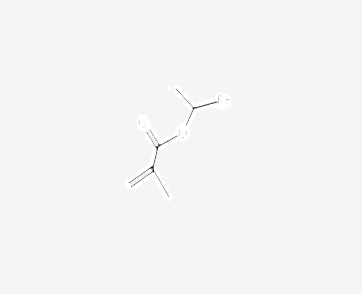 [CH2]CC([CH2])OC(=O)C(=C)C